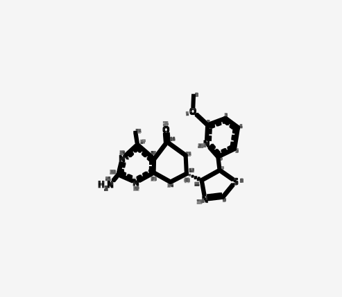 COc1cccc(C2SC=NC2[C@H]2CC(=O)c3c(C)nc(N)nc3C2)n1